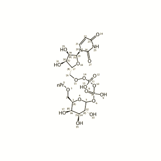 CCCOC[C@H]1OC(OP(=O)(O)OP(=O)(O)OOC[C@H]2O[C@H](n3ccc(=O)[nH]c3=O)[C@H](O)[C@@H]2O)[C@H](O)[C@@H](O)[C@H]1O